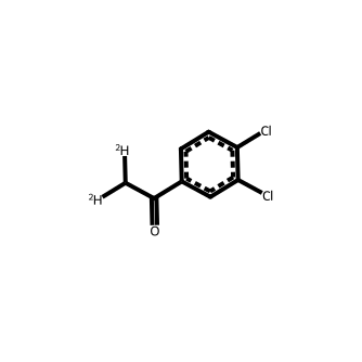 [2H]C([2H])C(=O)c1ccc(Cl)c(Cl)c1